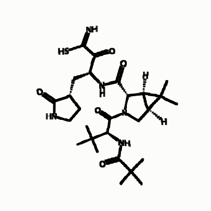 CC(C)(C)C(=O)N[C@H](C(=O)N1C[C@H]2[C@@H]([C@H]1C(=O)N[C@@H](C[C@@H]1CCNC1=O)C(=O)C(=N)S)C2(C)C)C(C)(C)C